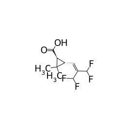 CC1(C)[C@@H](C=C(C(F)F)C(F)F)[C@@H]1C(=O)O